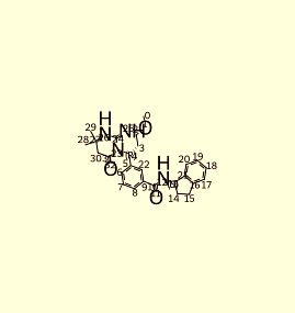 COCC[C@H](c1cccc(C(=O)N[C@H]2CCc3ccccc32)c1)N1C(=N)NC(C)(C)CC1=O